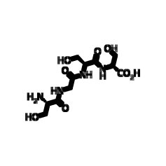 N[C@@H](CO)C(=O)NCC(=O)N[C@@H](CO)C(=O)N[C@@H](CO)C(=O)O